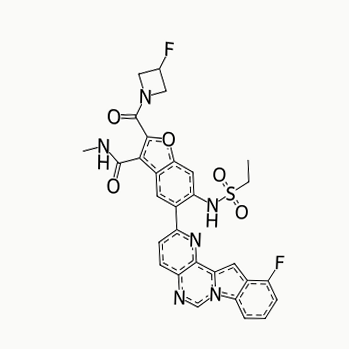 CCS(=O)(=O)Nc1cc2oc(C(=O)N3CC(F)C3)c(C(=O)NC)c2cc1-c1ccc2ncn3c4cccc(F)c4cc3c2n1